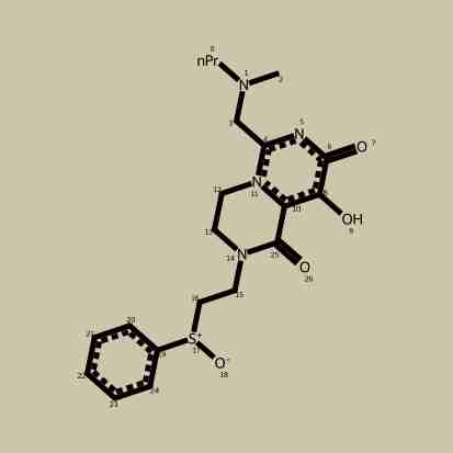 CCCN(C)Cc1nc(=O)c(O)c2n1CCN(CC[S+]([O-])c1ccccc1)C2=O